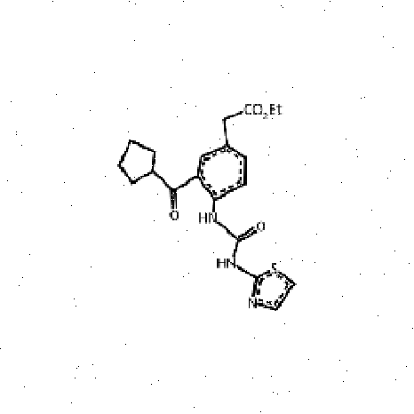 CCOC(=O)Cc1ccc(NC(=O)Nc2nccs2)c(C(=O)C2CCCC2)c1